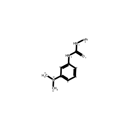 CCCNC(=O)Nc1cccc(N(C)C)c1